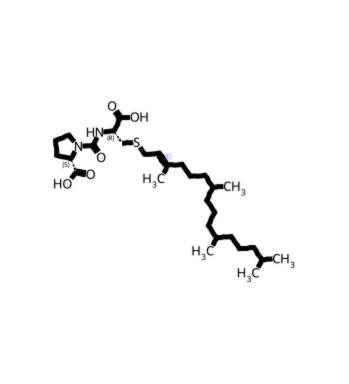 C/C(=C\CSC[C@H](NC(=O)N1CCC[C@H]1C(=O)O)C(=O)O)CCCC(C)CCCC(C)CCCC(C)C